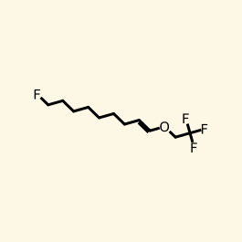 FCCCCCCCC=COCC(F)(F)F